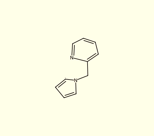 [c]1cccn1Cc1ccccn1